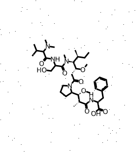 CC[C@H](C)[C@@H]([C@@H](CC(=O)N1CCCC1[C@H](OC)[C@@H](C)C(=O)NC(Cc1ccccc1)C(=O)O)OC)N(C)C(=O)C(CO)NC(=O)C(C(C)C)N(C)C